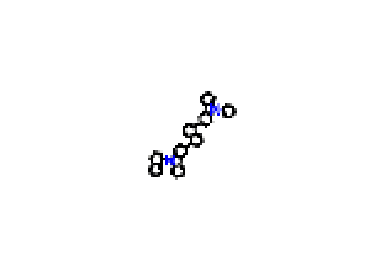 c1ccc(-n2c3ccccc3c3cc(-c4cccc5c(-c6ccc7c(c6)c6ccccc6n7-c6cccc7ccccc67)cccc45)ccc32)cc1